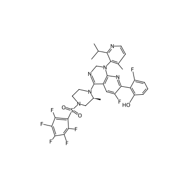 Cc1ccnc(C(C)C)c1N1CN=C(N2CCN(S(=O)(=O)c3c(F)c(F)c(F)c(F)c3F)C[C@@H]2C)c2cc(F)c(-c3c(O)cccc3F)nc21